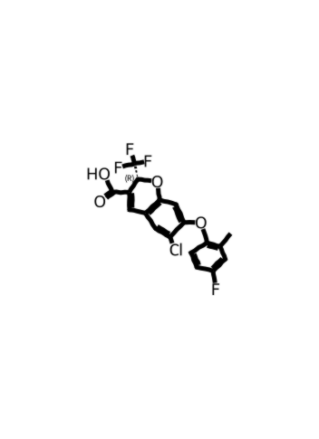 Cc1cc(F)ccc1Oc1cc2c(cc1Cl)C=C(C(=O)O)[C@H](C(F)(F)F)O2